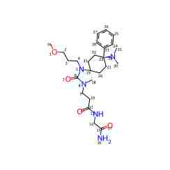 COCCCN1C(=O)N(CCC(=O)NCC(N)=O)C[C@]12CC[C@](c1ccccc1)(N(C)C)CC2